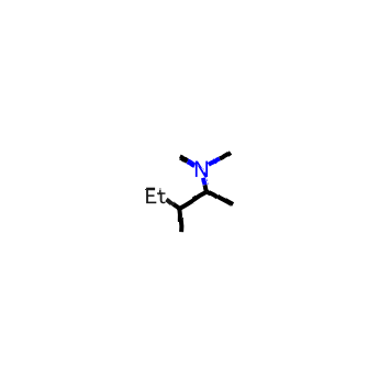 CCC(C)C(C)N(C)C